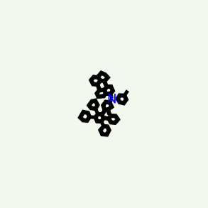 Cc1cccc(N(c2ccc3c(c2)c2ccccc2c2c(-c4ccccc4)cc(-c4ccccc4)c(-c4ccccc4)c32)c2ccc3c4cccc5cccc(c6cccc2c63)c54)c1